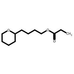 CCC(=O)OCCCCC1CCCCO1